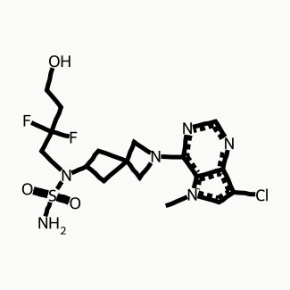 Cn1cc(Cl)c2ncnc(N3CC4(CC(N(CC(F)(F)CCO)S(N)(=O)=O)C4)C3)c21